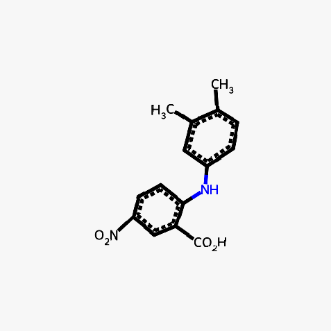 Cc1ccc(Nc2ccc([N+](=O)[O-])cc2C(=O)O)cc1C